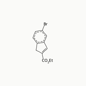 CCOC(=O)C1=Cc2cc(Br)ccc2C1